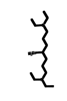 CCN(CC)CCC[CH]([GaH2])CCCN(CC)CC